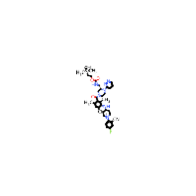 Cc1cc(C)c(C(=O)N2CCN(c3cccnn3)[C@H](CNC(=O)OCC[Si](C)(C)C)C2)c(C)c1NC1CCN(c2ccc(F)cc2C#N)CC1